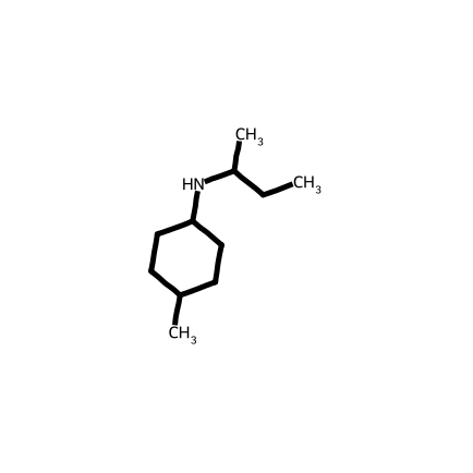 CCC(C)NC1CCC(C)CC1